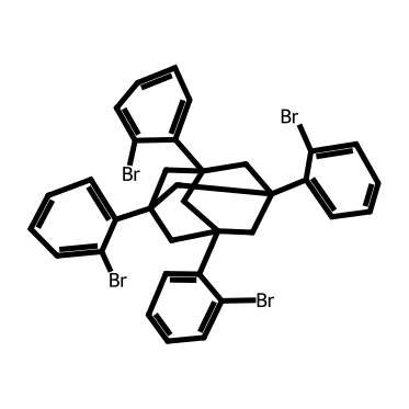 Brc1ccccc1C12CC3(c4ccccc4Br)CC(c4ccccc4Br)(C1)CC(c1ccccc1Br)(C2)C3